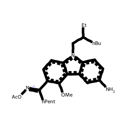 CCCCC/C(=N\OC(C)=O)c1ccc2c(c1OC)c1cc(N)ccc1n2CC(CC)CCCC